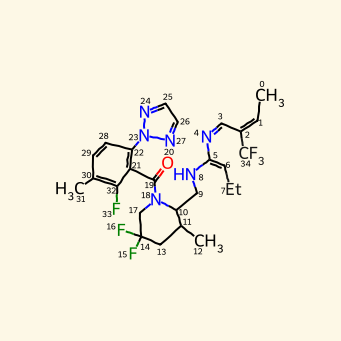 C\C=C(/C=N\C(=C\CC)NCC1C(C)CC(F)(F)CN1C(=O)c1c(-n2nccn2)ccc(C)c1F)C(F)(F)F